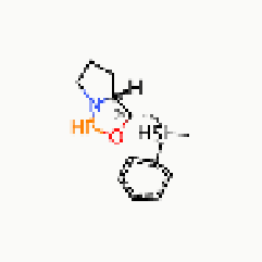 C[SiH](C[C@@H]1OPN2CCC[C@H]12)c1ccccc1